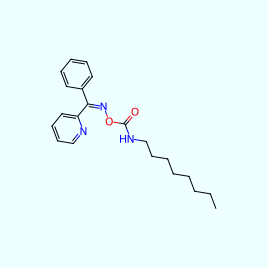 CCCCCCCCNC(=O)ON=C(c1ccccc1)c1ccccn1